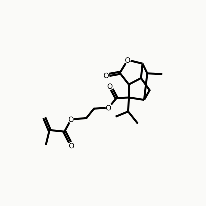 C=C(C)C(=O)OCCOC(=O)C1(C(C)C)C2CC3C(OC(=O)C31)C2C